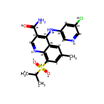 Cc1cc(S(=O)(=O)C(C)C)c2ncc(C(N)=O)c(Nc3cncc(Cl)c3)c2c1